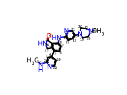 CNc1cc(-c2ccc(Nc3ccc(N4CCN(C)CC4)cn3)c3c2CNC3=O)ccn1